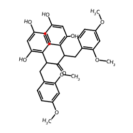 COc1ccc(CC(C(=O)C(Cc2ccc(OC)cc2OC)c2ccc(O)cc2O)c2ccc(O)cc2O)c(OC)c1